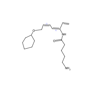 C=C/C(=C\C=C/COC1CCCCC1)NC(=O)CCCCN